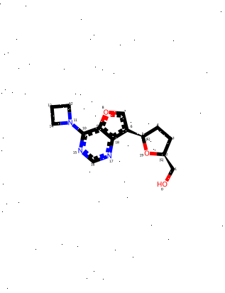 OC[C@@H]1CC[C@H](c2coc3c(N4CCC4)ncnc23)O1